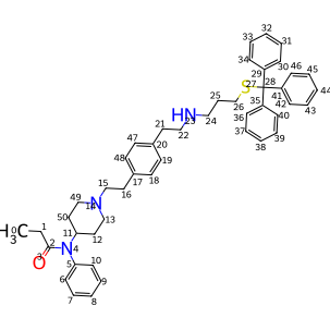 CCC(=O)N(c1ccccc1)C1CCN(CCc2ccc(CCNCCCSC(c3ccccc3)(c3ccccc3)c3ccccc3)cc2)CC1